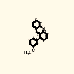 COc1cccc(-c2cccc3nc4ccccc4cc23)c1